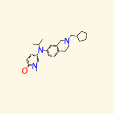 CC(C)N(c1ccc2c(c1)CN(CC1CCCC1)CC2)c1ccc(=O)n(C)c1